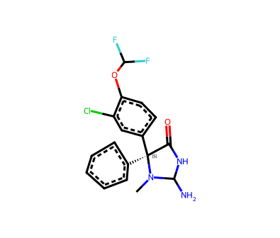 CN1C(N)NC(=O)[C@]1(c1ccccc1)c1ccc(OC(F)F)c(Cl)c1